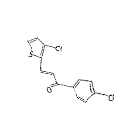 O=C(C=Cc1sccc1Cl)c1ccc(Cl)cc1